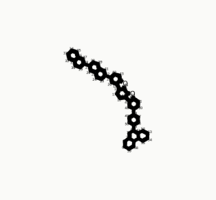 C1=CC2=CC(c3ccc(-c4ccc5oc6c(ccc7c8cc(-c9ccc%10cc(-c%11ccc%12ccccc%12c%11)ccc%10c9)ccc8oc76)c5c4)cc3)=C3C=CC=CC3C2C=C1